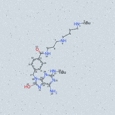 CCCCNCCCCNCCCNC(=O)c1ccc(Cn2c(O)nc3c(N)nc(NCCCC)nc32)cc1